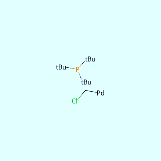 CC(C)(C)P(C(C)(C)C)C(C)(C)C.Cl[CH2][Pd]